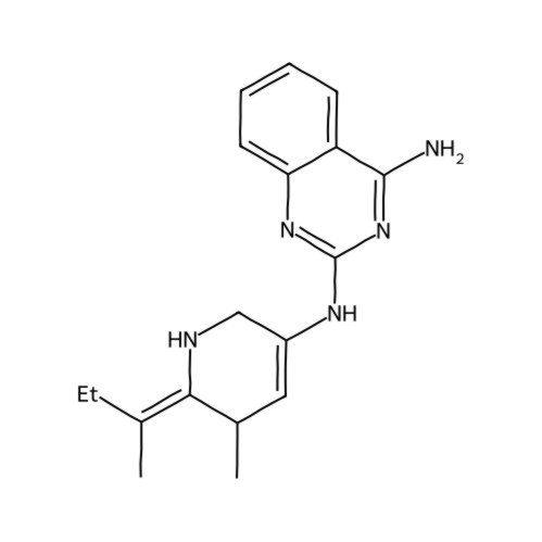 CC/C(C)=C1\NCC(Nc2nc(N)c3ccccc3n2)=CC1C